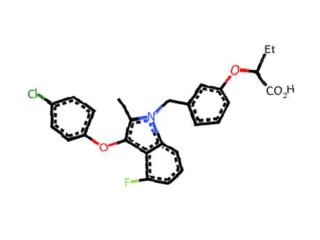 CCC(Oc1cccc(Cn2c(C)c(Oc3ccc(Cl)cc3)c3c(F)cccc32)c1)C(=O)O